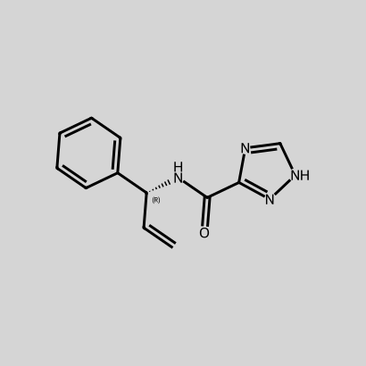 C=C[C@@H](NC(=O)c1nc[nH]n1)c1ccccc1